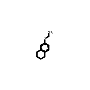 NCOc1ccc2c(c1)CCCC2